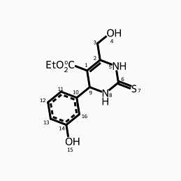 CCOC(=O)C1=C(CO)NC(=S)NC1c1cccc(O)c1